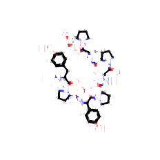 CCC(C)[C@H](NC(=O)[C@@H]1CCCN1C(=O)CNC(=O)[C@@H]1CCCN1C(=O)C(NC(=O)[C@@H]1CCCN1C(=O)[C@@H](N)Cc1ccc(O)cc1)c1ccc(O)cc1)C(=S)N1CCC[C@H]1B(O)O